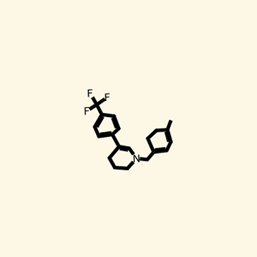 CC1=CC=C(CN2C=C(c3ccc(C(F)(F)F)cc3)CCC2)CC1